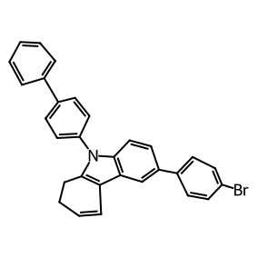 Brc1ccc(-c2ccc3c(c2)c2c(n3-c3ccc(-c4ccccc4)cc3)CCC=C2)cc1